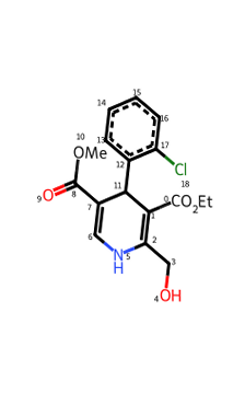 CCOC(=O)C1=C(CO)NC=C(C(=O)OC)C1c1ccccc1Cl